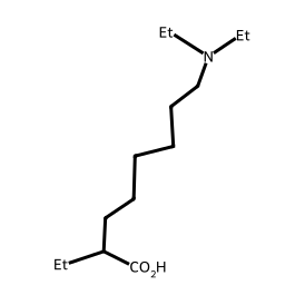 CCC(CCCCCCN(CC)CC)C(=O)O